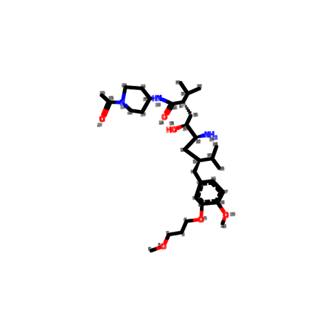 COCCCOc1cc(C[C@@H](C[C@H](N)[C@@H](O)C[C@H](C(=O)NC2CCN(C(C)=O)CC2)C(C)C)C(C)C)ccc1OC